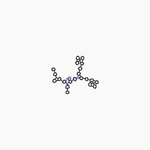 c1ccc(-c2ccc(C3c4ccccc4-c4cc(-c5ccc(N(c6ccc(-c7ccccc7)cc6)c6ccc(-c7ccc(-n8c9ccc(-c%10ccc(-c%11ccc%12c(c%11)C%11(c%13ccccc%13-c%13ccccc%13%11)c%11ccccc%11-%12)cc%10)cc9c9cc(-c%10ccc(-c%11ccc%12c(c%11)C%11(c%13ccccc%13-c%13ccccc%13%11)c%11ccccc%11-%12)cc%10)ccc98)cc7)c7nsnc67)cc5)ccc43)cc2)cc1